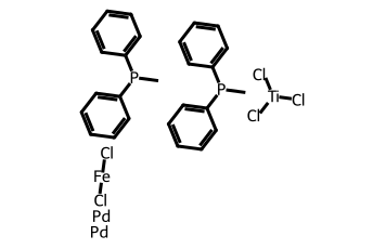 CP(c1ccccc1)c1ccccc1.CP(c1ccccc1)c1ccccc1.[Cl][Fe][Cl].[Cl][Ti]([Cl])[Cl].[Pd].[Pd]